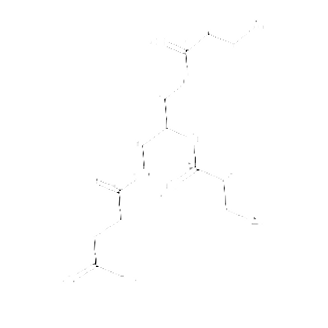 CC(=O)CCC(=O)OCC(COC(=O)CCC(=O)I)OC(=O)CCC(C)=O